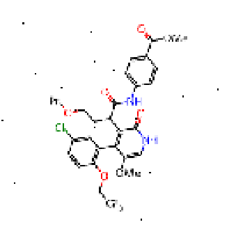 COC(=O)c1ccc(NC(=O)C(CCOC(C)C)c2c(-c3cc(Cl)ccc3OCC(F)(F)F)c(OC)c[nH]c2=O)cc1